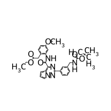 CCOC(=O)Cc1ccc(OC)cc1NC(=O)c1nc(-c2cccc(CNC(=O)OC(C)(C)C)c2)nn2cccc12